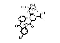 CC(C)(C)OC(=O)NC(CCC(=O)O)C(=O)Nc1ccc(Br)cc1C(=O)c1ccccn1